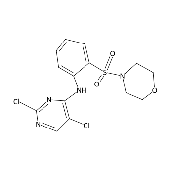 O=S(=O)(c1ccccc1Nc1nc(Cl)ncc1Cl)N1CCOCC1